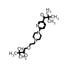 CC(C)(C)C(=O)COCCN1CCN(c2ccc(C(=O)C(C)(C)C)cn2)CC1